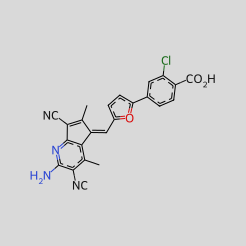 [C-]#[N+]c1c(N)nc2c(c1C)/C(=C/c1ccc(-c3ccc(C(=O)O)c(Cl)c3)o1)C(C)=C2C#N